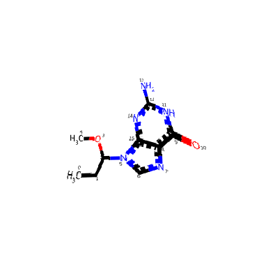 CCC(OC)n1cnc2c(=O)[nH]c(N)nc21